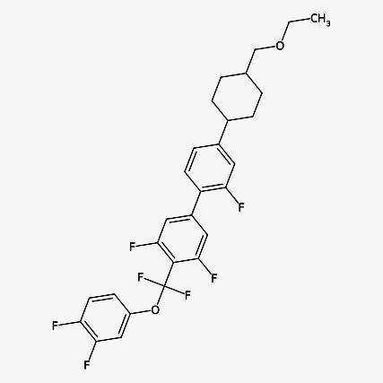 CCOCC1CCC(c2ccc(-c3cc(F)c(C(F)(F)Oc4ccc(F)c(F)c4)c(F)c3)c(F)c2)CC1